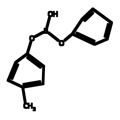 Cc1ccc(OB(O)Oc2ccccc2)cc1